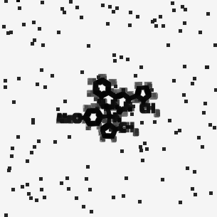 COc1ccc(C2(C3=CC=CC3C)N=C3N=C(C4=CC=CC4C)C=C4c5ccccc5N=C2N43)cc1